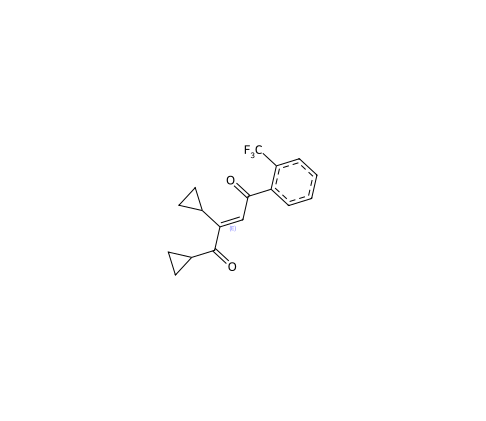 O=C(/C=C(/C(=O)C1CC1)C1CC1)c1ccccc1C(F)(F)F